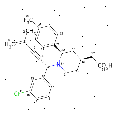 C=C(C)C#C[C@@H](c1cccc(Cl)c1)N1CC[C@H](CC(=O)O)C[C@@H]1c1ccc(C(F)(F)F)cc1